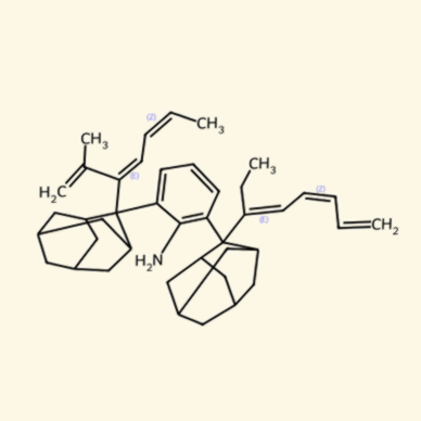 C=C/C=C\C=C(/CC)C1(c2cccc(C3(/C(=C/C=C\C)C(=C)C)C4CC5CC(C4)CC3C5)c2N)C2CC3CC(C2)CC1C3